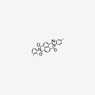 Cc1ccc2c(c1)nc1c3ccc4c5c(ccc(c(=O)n21)c53)C(=O)N(c1cccc(C)c1C)C4=O